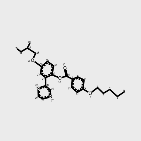 CCCCCOc1ccc(C(=O)Oc2ccc(OCC(C)CC)cc2-c2cnccn2)cc1